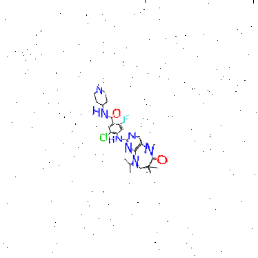 CC(C)N1CC(C)(C)C(=O)N(C)c2cnc(Nc3cc(F)c(C(=O)NC4CCN(C)CC4)cc3Cl)nc21